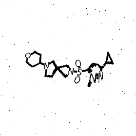 Cn1nc(C2CC2)cc1S(=O)(=O)N1CC2(CCN(C3CCOCC3)C2)C1